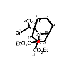 CCOC(=O)CBr.CCOC(=O)CN1C2CCCC1CC(C(=O)OCC)C2